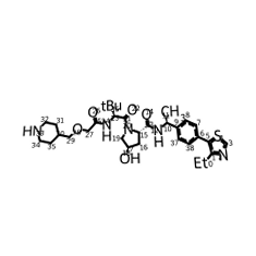 CCc1ncsc1-c1ccc([C@H](C)NC(=O)[C@@H]2C[C@@H](O)CN2C(=O)[C@@H](NC(=O)COCC2CCNCC2)C(C)(C)C)cc1